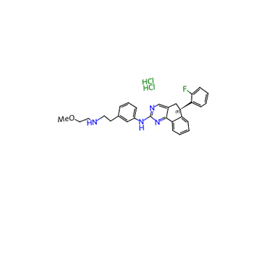 COCCNCCc1cccc(Nc2ncc3c(n2)-c2ccccc2[C@H](c2ccccc2F)C3)c1.Cl.Cl